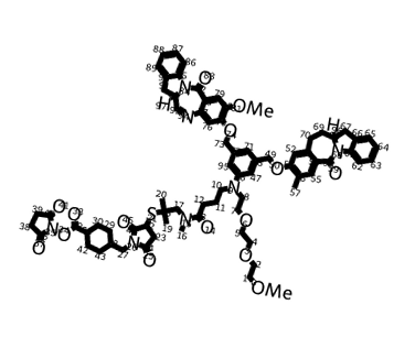 COCCOCCOCCN(CCCC(=O)N(C)CC(C)(C)SC1CC(=O)N(CC2CCC(C(=O)ON3C(=O)CCC3=O)CC2)C1=O)c1cc(COc2cc3c(cc2C)C(=O)N2c4ccccc4C[C@H]2CC3)cc(COc2cc3c(cc2OC)C(=O)N2c4ccccc4C[C@H]2C=N3)c1